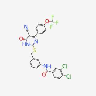 N#Cc1c(-c2ccc(OC(F)(F)F)cc2)nc(SCc2cccc(NC(=O)c3ccc(Cl)c(Cl)c3)c2)[nH]c1=O